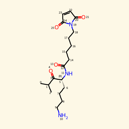 CC(C)C(=O)[C@@H](CCCCN)NC(=O)CCCCCN1C(=O)C=CC1=O